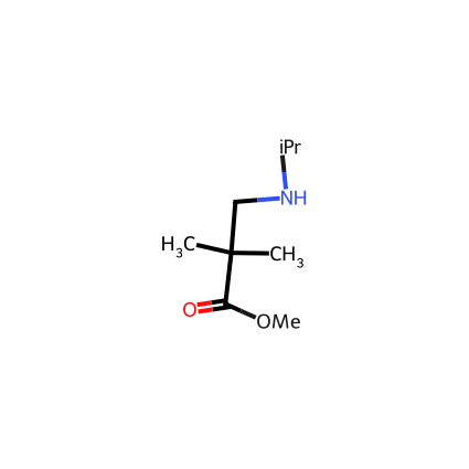 COC(=O)C(C)(C)CNC(C)C